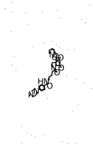 CN1CCN(c2ccc(C(=O)NCCCCC(=O)N3CCC4C3C(=O)CN4S(=O)(=O)Cc3ccccn3)cc2)CC1